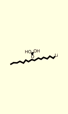 O=C(O)O.[Li][CH2]CCCCCCCCCCCCCC